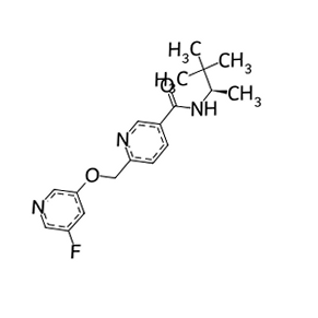 C[C@@H](NC(=O)c1ccc(COc2cncc(F)c2)nc1)C(C)(C)C